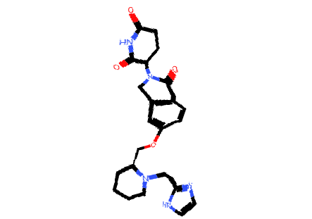 O=C1CCC(N2Cc3cc(OC[C@@H]4CCCCN4Cc4ncc[nH]4)ccc3C2=O)C(=O)N1